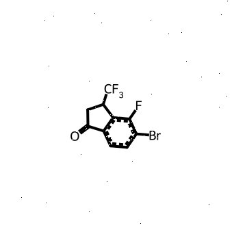 O=C1CC(C(F)(F)F)c2c1ccc(Br)c2F